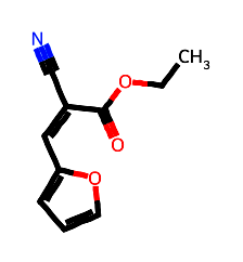 CCOC(=O)C(C#N)=Cc1ccco1